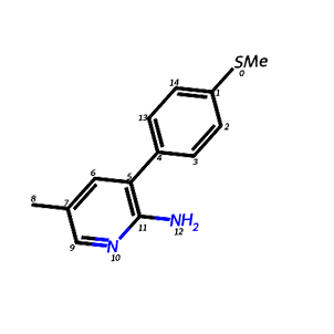 CSc1ccc(-c2cc(C)cnc2N)cc1